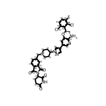 C[C@@H](Oc1cc(-c2cnn(C3CCN(Cc4ccc5c(c4)C(=O)N(C4CCC(=O)NC4=O)C5=O)CC3)c2)cnc1N)c1c(Cl)ccc(F)c1Cl